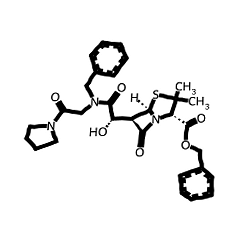 CC1(C)S[C@@H]2[C@H]([C@H](O)C(=O)N(CC(=O)N3CCCC3)Cc3ccccc3)C(=O)N2[C@H]1C(=O)OCc1ccccc1